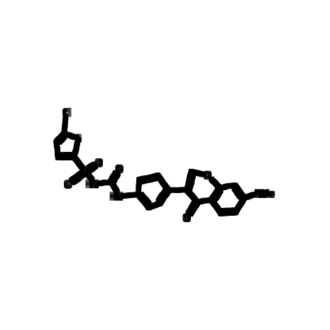 CNc1ccc2c(=O)c(-c3ccc(NC(=O)NS(=O)(=O)c4ccc(Cl)s4)cc3)coc2c1